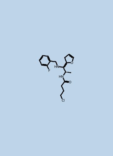 C[C@@H](NC(=O)CCCCl)C(NCc1ccccc1F)=C1CC=CO1